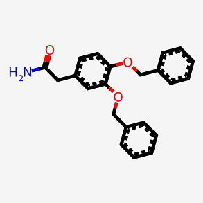 NC(=O)Cc1ccc(OCc2ccccc2)c(OCc2ccccc2)c1